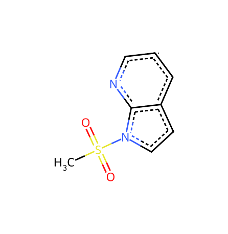 CS(=O)(=O)n1ccc2c[c]cnc21